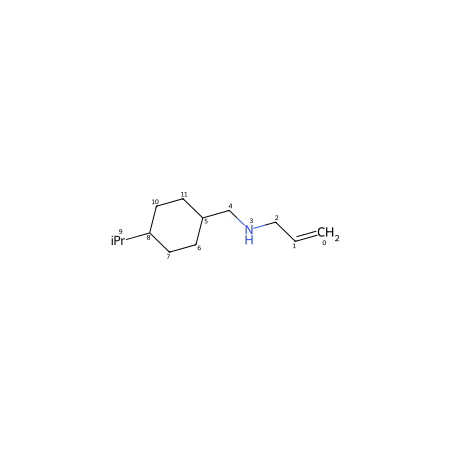 C=CCNCC1CCC(C(C)C)CC1